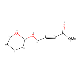 COC(=O)C#CCOC1CCCCO1